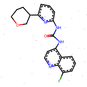 O=C(Nc1cccc(C2CCCOC2)n1)Nc1ccnc2c(F)cccc12